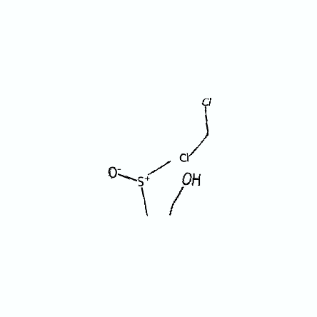 CO.C[S+](C)[O-].ClCCl